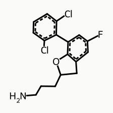 NCCCC1Cc2cc(F)cc(-c3c(Cl)cccc3Cl)c2O1